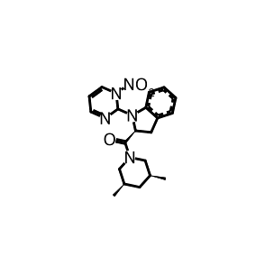 C[C@@H]1C[C@H](C)CN(C(=O)[C@@H]2Cc3ccccc3N2C2N=CC=CN2[N+](=O)[O-])C1